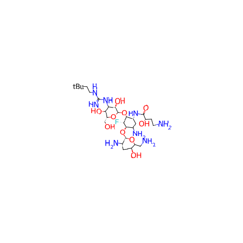 CC(C)(C)CCNC(=N)NC1C(O)[C@@H](CO)OC(OC2[C@@H](F)[C@H](O[C@H]3OC(CN)[C@@H](O)CC3N)C(N)C[C@H]2NC(=O)[C@@H](O)CCN)[C@@H]1O